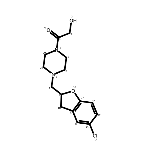 O=C(CO)N1CCN(CC2Cc3cc(Cl)ccc3O2)CC1